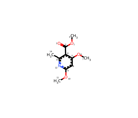 COC(=O)c1c(OC)cc(OC)nc1C